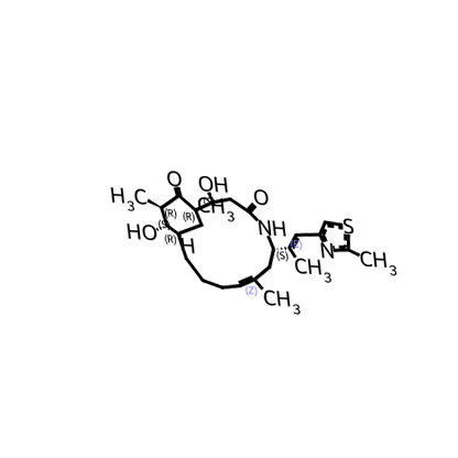 C/C1=C/CCC[C@@H]2C[C@@](C)(C(=O)[C@H](C)[C@H]2O)[C@@H](O)CC(=O)N[C@H](/C(C)=C/c2csc(C)n2)C1